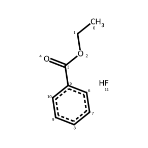 CCOC(=O)c1ccccc1.F